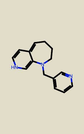 C1=CC2=CCCCN(Cc3cccnc3)C2=CN1